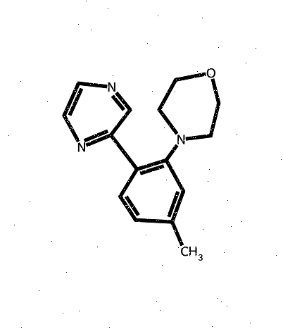 Cc1ccc(-c2cnccn2)c(N2CCOCC2)c1